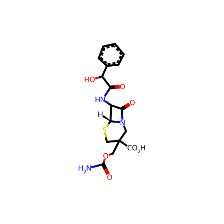 NC(=O)OCC1(C(=O)O)CS[C@@H]2C(NC(=O)C(O)c3ccccc3)C(=O)N2C1